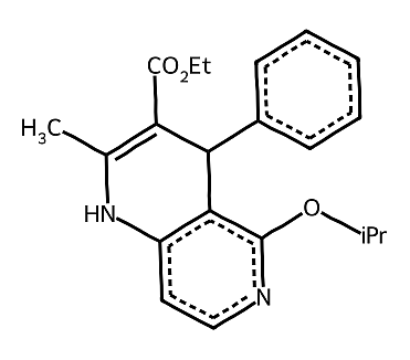 CCOC(=O)C1=C(C)Nc2ccnc(OC(C)C)c2C1c1ccccc1